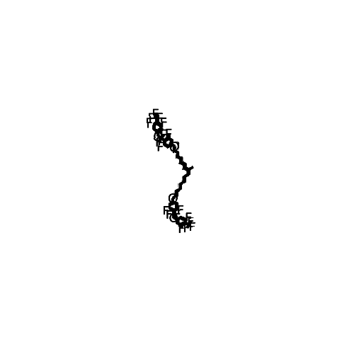 CC(CCCCCCCOc1cc(F)c(C(F)(F)Oc2cc(F)c(C(F)(F)F)c(F)c2)c(F)c1)CCCCCCCOc1cc(F)c(C(F)(F)Oc2cc(F)c(C(F)(F)F)c(F)c2)c(F)c1